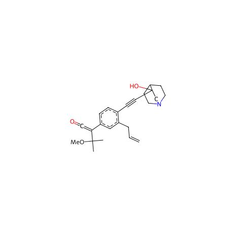 C=CCc1cc(C(=C=O)C(C)(C)OC)ccc1C#CC1(O)CN2CCC1CC2